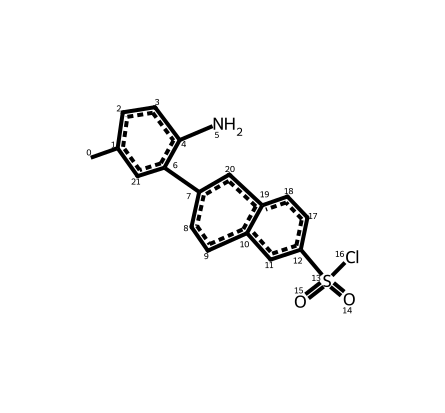 Cc1ccc(N)c(-c2ccc3cc(S(=O)(=O)Cl)ccc3c2)c1